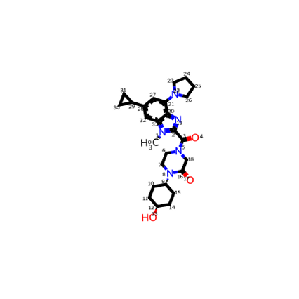 Cn1c(C(=O)N2CCN([C@H]3CC[C@H](O)CC3)C(=O)C2)nc2c(N3CCCC3)cc(C3CC3)cc21